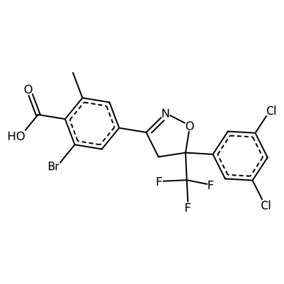 Cc1cc(C2=NOC(c3cc(Cl)cc(Cl)c3)(C(F)(F)F)C2)cc(Br)c1C(=O)O